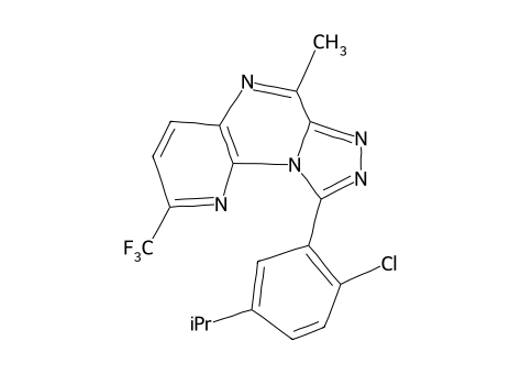 Cc1nc2ccc(C(F)(F)F)nc2n2c(-c3cc(C(C)C)ccc3Cl)nnc12